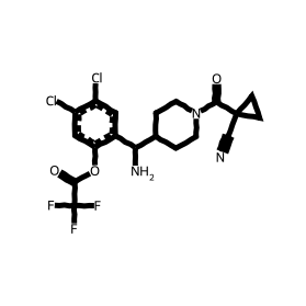 N#CC1(C(=O)N2CCC(C(N)c3cc(Cl)c(Cl)cc3OC(=O)C(F)(F)F)CC2)CC1